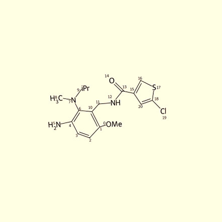 COc1ccc(N)c(N(C)C(C)C)c1CNC(=O)c1csc(Cl)c1